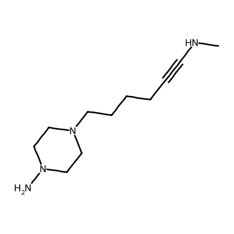 CNC#CCCCCN1CCN(N)CC1